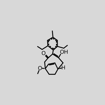 CCc1cc(C)cc(CC)c1/C1=C(\O)C[C@H]2C=C[C@](OC)(CC2)CC1=O